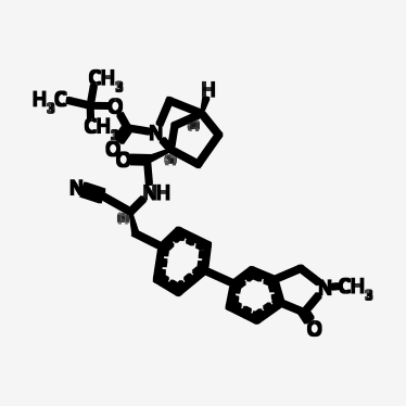 CN1Cc2cc(-c3ccc(C[C@@H](C#N)NC(=O)[C@@]45CC[C@@H](CN4C(=O)OC(C)(C)C)C5)cc3)ccc2C1=O